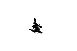 CCCCCCCC(=O)c1ccc(OC(=O)OCCCCC)c(C(=O)c2ccccc2C(=O)OOC(=O)c2ccccc2C(=O)c2cc(C(=O)CCCCCCC)ccc2OC(=O)OCCCCC)c1